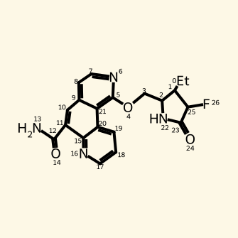 CCC1C(COc2nccc3cc(C(N)=O)c4ncccc4c23)NC(=O)C1F